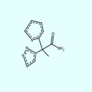 CC(C(N)=O)(c1ccccn1)n1ccnn1